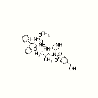 COC(=O)N[C@H](C(=O)NCCN[C@@H]1CNC[C@H]1N(CCC(C)C)S(=O)(=O)c1ccc(CO)cc1)C(c1ccccc1)c1ccccc1